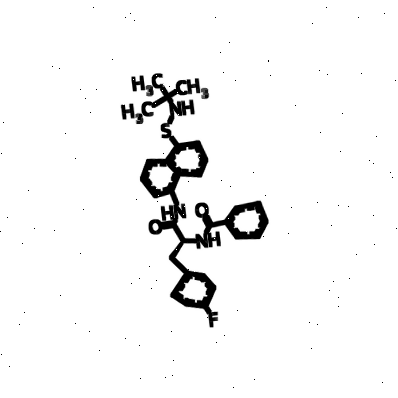 CC(C)(C)NSc1cccc2c(NC(=O)[C@H](Cc3ccc(F)cc3)NC(=O)c3ccccc3)cccc12